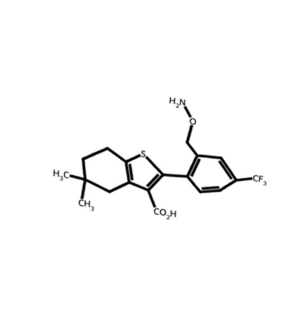 CC1(C)CCc2sc(-c3ccc(C(F)(F)F)cc3CON)c(C(=O)O)c2C1